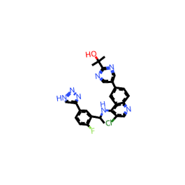 CC(Nc1c(Cl)cnc2ccc(-c3cnc(C(C)(C)O)nc3)cc12)c1cc(-c2c[nH]nn2)ccc1F